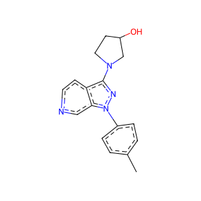 Cc1ccc(-n2nc(N3CCC(O)C3)c3ccncc32)cc1